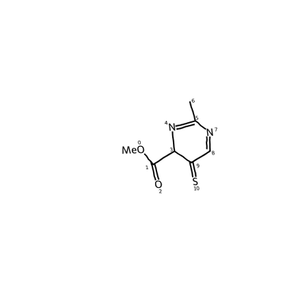 COC(=O)C1N=C(C)N=CC1=S